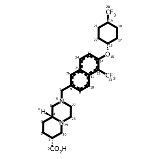 O=C(O)[C@@H]1CC[C@@H]2CN(Cc3ccc4c(C(F)(F)F)c(O[C@H]5CC[C@H](C(F)(F)F)CC5)ccc4c3)CCN2C1